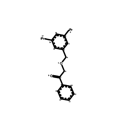 CC(C)c1cc(COCC(=O)c2ccccc2)cc(C(C)C)c1